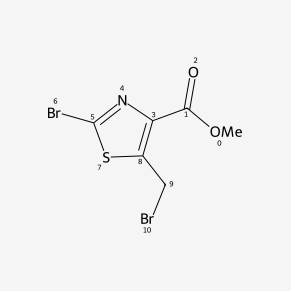 COC(=O)c1nc(Br)sc1CBr